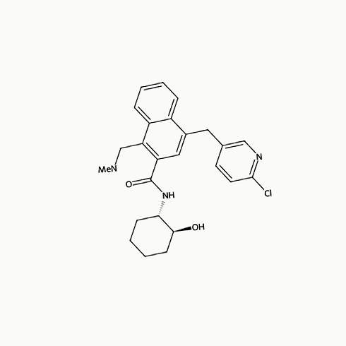 CNCc1c(C(=O)N[C@H]2CCCC[C@@H]2O)cc(Cc2ccc(Cl)nc2)c2ccccc12